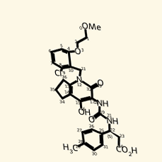 COCCOc1cccc(Cl)c1Cn1c2c(c(O)c(NC(=O)N[C@@H](CC(=O)O)c3ccc(C)cc3)c1=O)CCC2